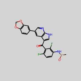 C[S+]([O-])Nc1ccc(F)c(C(=O)c2c[nH]c3ncc(-c4ccc5c(c4)OCO5)cc23)c1F